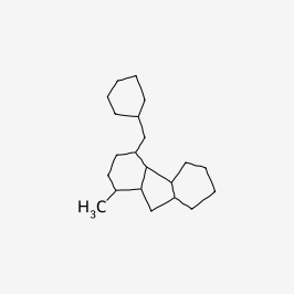 CC1CCC(CC2CCCCC2)C2C1CC1CCCCC12